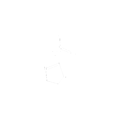 C1=NCCC1.O=[N+]([O-])O